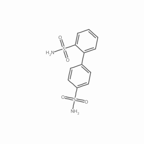 NS(=O)(=O)c1ccc(-c2ccccc2S(N)(=O)=O)cc1